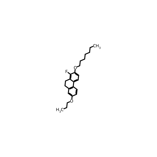 CCCCCCCOc1ccc2c(c1F)CCc1cc(OCCC)ccc1-2